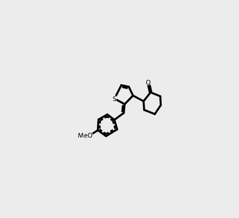 COc1ccc(C=C2SC=CC2C2CCCCC2=O)cc1